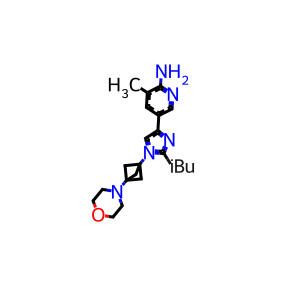 CCC(C)c1nc(-c2cnc(N)c(C)c2)cn1C12CC(N3CCOCC3)(C1)C2